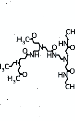 CCCNC(=O)CCN(CCNC(=O)CCN(CCNC(=O)CCN(CCC)CCC(C)=O)CCC(C)=O)CCC(=O)NCCC